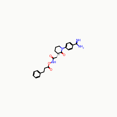 N=C(N)c1ccc(N2CCC[C@@H](CC(=O)NOC(=O)CCc3ccccc3)C2=O)cc1